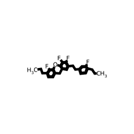 CCCc1ccc(CCc2cc3c(c(F)c2F)Oc2c(ccc(CCC)c2F)C3)cc1F